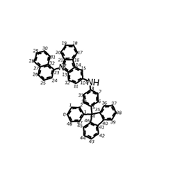 c1ccc(C2(c3ccc(Nc4ccc5c(c4)c4ccccc4n5-c4cccc5ccccc45)cc3)c3ccccc3-c3ccccc32)cc1